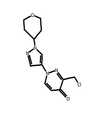 O=c1ccn(-c2cnn(C3CCOCC3)c2)nc1CCl